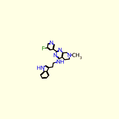 CN1CCc2c(nc(-c3cncc(F)c3)nc2NCCc2c[nH]c3ccccc23)C1